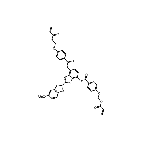 C=CC(=O)OCOc1ccc(C(=O)Oc2ccc(OC(=O)c3ccc(OCOC(=O)C=C)cc3)c3sc(C4Cc5cc(OC)ccc5O4)nc23)cc1